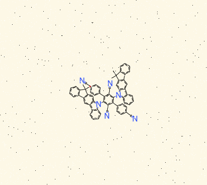 CC1(C)c2ccccc2-c2cc3c4ccccc4n(-c4c(C#N)c(-c5ccc(C#N)cc5)c(-n5c6ccccc6c6cc7c(cc65)C(C)(C)c5ccccc5-7)c(C#N)c4-c4ccc(C#N)cc4)c3cc21